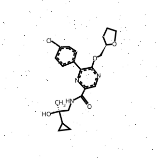 C[C@](O)(CNC(=O)c1cnc(OC[C@H]2CCCO2)c(-c2ccc(Cl)cc2)n1)C1CC1